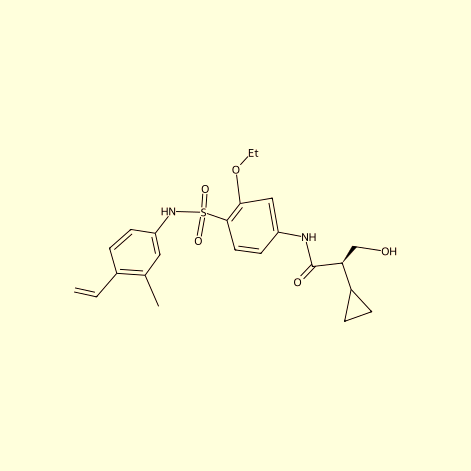 C=Cc1ccc(NS(=O)(=O)c2ccc(NC(=O)[C@@H](CO)C3CC3)cc2OCC)cc1C